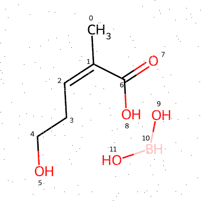 CC(=CCCO)C(=O)O.OBO